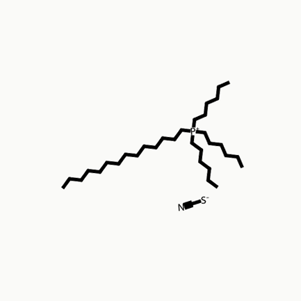 CCCCCCCCCCCCCC[P+](CCCCCC)(CCCCCC)CCCCCC.N#C[S-]